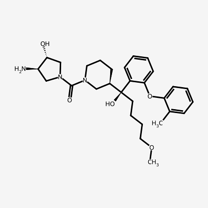 COCCCC[C@@](O)(c1ccccc1Oc1ccccc1C)[C@@H]1CCCN(C(=O)N2C[C@@H](N)[C@H](O)C2)C1